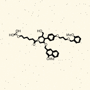 COc1ccccc1COCCCOc1ccc(C2C(CO)CN(C(=O)CCCCCON(O)O)CC2OCc2cc(OC)c3ccccc3c2)cc1